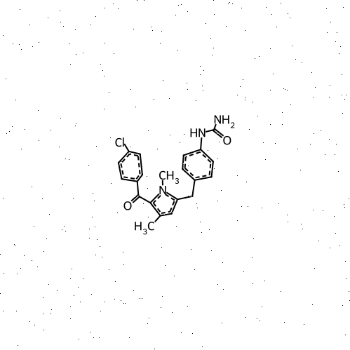 Cc1cc(Cc2ccc(NC(N)=O)cc2)n(C)c1C(=O)c1ccc(Cl)cc1